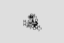 C[SiH](C)OC[C@]1(C(C)(C)C)CCC(=O)N1CCOS(C)(=O)=O